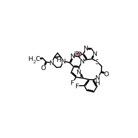 C=CC(=O)N1CCN(c2nc(=O)n3c4nc(c(F)cc24)-c2c(F)cccc2NC(=O)CSc2ncnc(C(C)C)c2-3)C2C[C@H]21